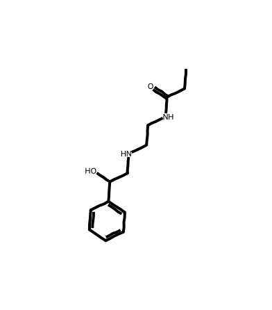 CCC(=O)NCCNCC(O)c1ccccc1